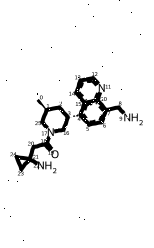 C[C@H]1C[C@H](c2ccc(CN)c3ncccc23)CN(C(=O)CC2(N)CC2)C1